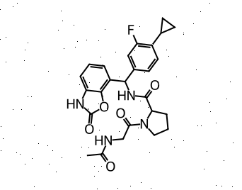 CC(=O)NCC(=O)N1CCCC1C(=O)NC(c1ccc(C2CC2)c(F)c1)c1cccc2[nH]c(=O)oc12